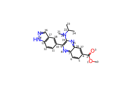 COC(=O)c1ccc2nc(-c3ccc4[nH]ncc4c3)c(N(C)C(C)C)nc2c1